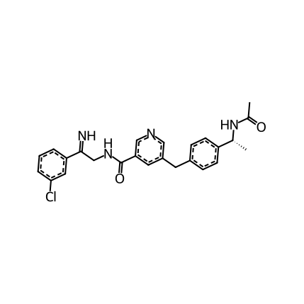 CC(=O)N[C@H](C)c1ccc(Cc2cncc(C(=O)NCC(=N)c3cccc(Cl)c3)c2)cc1